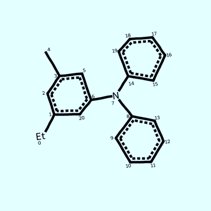 CCc1cc(C)cc(N(c2ccccc2)c2ccccc2)c1